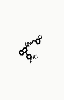 Cl.Fc1ccc(-c2cc(CCNCCc3cccc(Cl)c3)cc3ccccc23)cc1